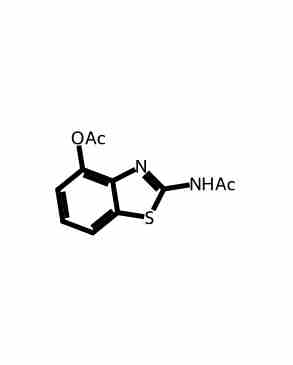 CC(=O)Nc1nc2c(OC(C)=O)cccc2s1